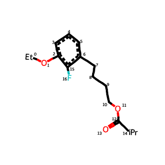 CCOc1cccc(CCCCOC(=O)C(C)C)c1F